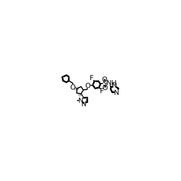 Cn1nccc1[C@H]1C[C@H](OCc2ccccc2)CC1COc1cc(F)c(S(=O)(=O)Nc2ccncn2)cc1F